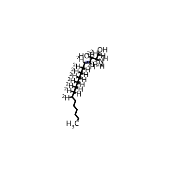 [2H]/C(=C(/[2H])[C@@]([2H])(O)[C@@]([2H])(N([2H])[2H])C([2H])([2H])O)C([2H])([2H])C([2H])([2H])C([2H])([2H])C([2H])([2H])C([2H])([2H])C([2H])([2H])C([2H])CCCCCC